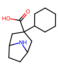 O=C(O)C1(C2CCCCC2)CC2CCC(C1)N2